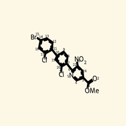 COC(=O)c1cnc(-c2ccc(-c3ccc(Br)cc3Cl)cc2Cl)c([N+](=O)[O-])c1